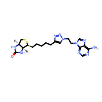 Nc1ncnc2c1ncn2CCn1cc(CCCCC[C@@H]2SC[C@@H]3NC(=O)N[C@@H]32)nn1